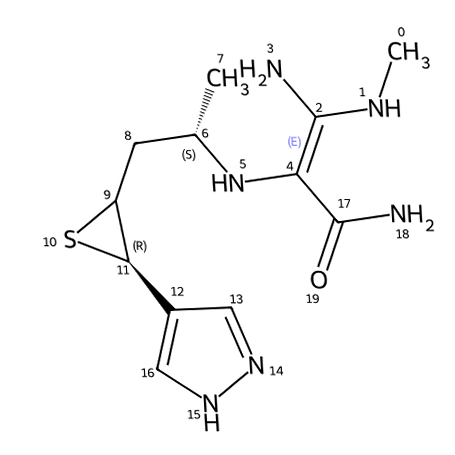 CN/C(N)=C(/N[C@@H](C)CC1S[C@@H]1c1cn[nH]c1)C(N)=O